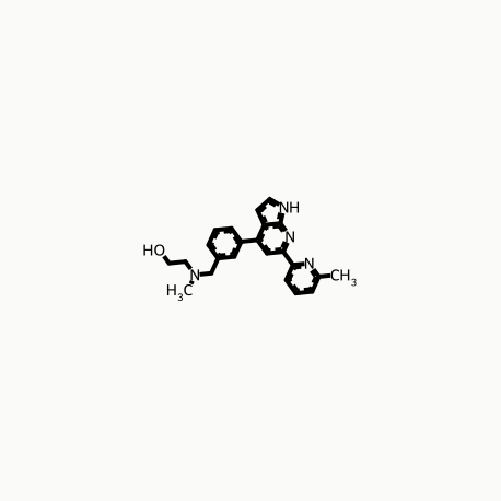 Cc1cccc(-c2cc(-c3cccc(CN(C)CCO)c3)c3cc[nH]c3n2)n1